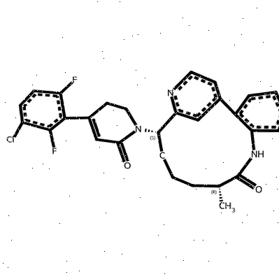 C[C@@H]1CCC[C@H](N2CCC(c3c(F)ccc(Cl)c3F)=CC2=O)c2cc(ccn2)-c2ccccc2NC1=O